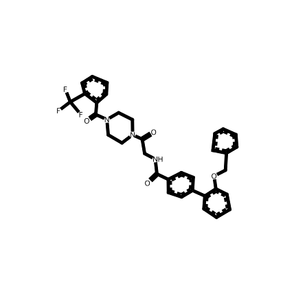 O=C(NCC(=O)N1CCN(C(=O)c2ccccc2C(F)(F)F)CC1)c1ccc(-c2ccccc2OCc2ccccc2)cc1